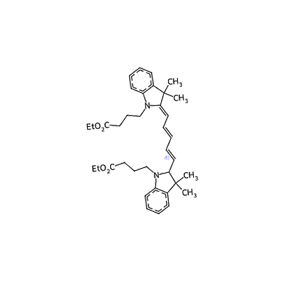 CCOC(=O)CCCN1C(=CC=C/C=C/C2N(CCCC(=O)OCC)c3ccccc3C2(C)C)C(C)(C)c2ccccc21